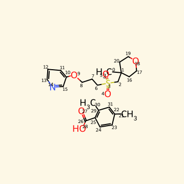 CC1(CS(=O)(=O)CCCOc2cccnc2)CCOCC1.Cc1ccc(C(=O)O)c(C)c1